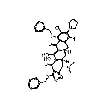 CN(C)[C@@H]1c2onc(OCc3ccccc3)c2C(=O)[C@@]2(O)C(O)=C3C(=O)c4c(c(F)c(N5CCCC5)c(Cl)c4OCc4ccccc4)C[C@H]3C[C@@H]12